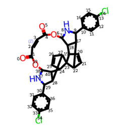 O=C1/C=C\C(=O)OC2NC(c3ccc(Cl)cc3)C3C2C2C=CC3C23C2C=CC3C3C(c4ccc(Cl)cc4)NC(O1)C32